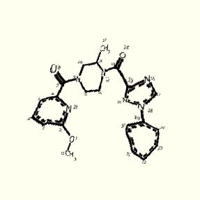 COc1cccc(C(=O)N2CCN(C(=O)c3ncn(-c4ccccc4)n3)C(C)C2)n1